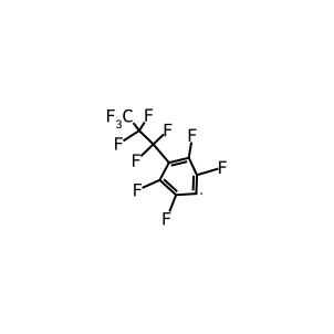 Fc1[c]c(F)c(F)c(C(F)(F)C(F)(F)C(F)(F)F)c1F